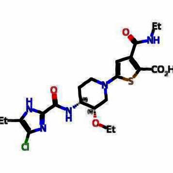 CCNC(=O)c1cc(N2CC[C@@H](NC(=O)c3nc(Cl)c(CC)[nH]3)[C@@H](OCC)C2)sc1C(=O)O